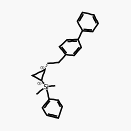 C[Si](C)(c1ccccc1)[C@H]1C[C@@H]1CCc1ccc(-c2ccccc2)cc1